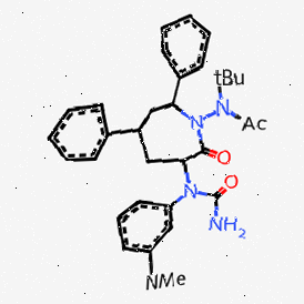 CNc1cccc(N(C(N)=O)C2CC(c3ccccc3)CC(c3ccccc3)N(N(C(C)=O)C(C)(C)C)C2=O)c1